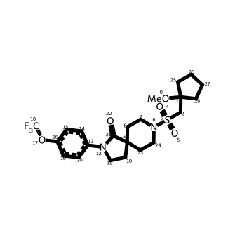 COC1(CS(=O)(=O)N2CCC3(CCN(c4ccc(OC(F)(F)F)cc4)C3=O)CC2)CCCC1